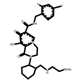 CC(=O)NCCNCC1CCCCC1N1CCn2cc(C(=O)NCc3ccc(F)cc3F)c(=O)c(O)c2C1=O